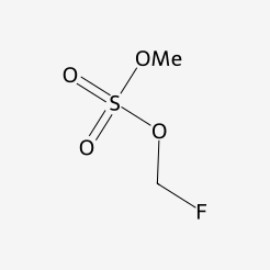 COS(=O)(=O)OCF